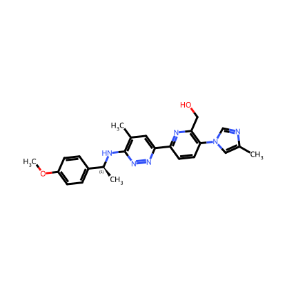 COc1ccc([C@H](C)Nc2nnc(-c3ccc(-n4cnc(C)c4)c(CO)n3)cc2C)cc1